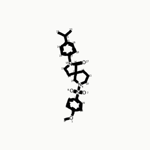 COc1ccc(S(=O)(=O)N2CCCC3(CCN(c4ccc(C(C)C)cc4)C3=O)C2)cc1